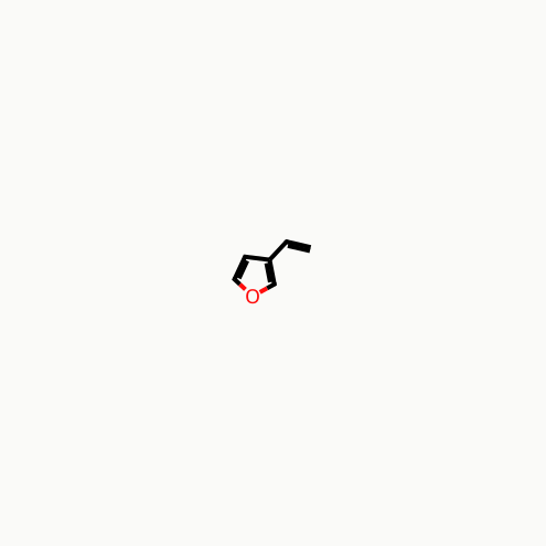 C=Cc1ccoc1